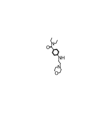 CCN(CC)C(=O)c1ccc(NCCN2CCOCC2)cc1